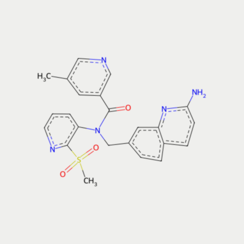 Cc1cncc(C(=O)N(Cc2ccc3ccc(N)nc3c2)c2cccnc2S(C)(=O)=O)c1